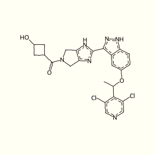 CC(Oc1ccc2[nH]nc(-c3nc4c([nH]3)CN(C(=O)C3CC(O)C3)C4)c2c1)c1c(Cl)cncc1Cl